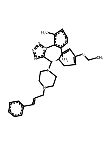 CCOC1=CCC([C@@H](c2nnnn2-c2c(C)cccc2C)N2CCN(C/C=C/c3ccccc3)CC2)C=C1